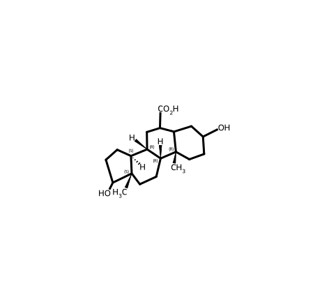 C[C@]12CCC(O)CC1C(C(=O)O)C[C@@H]1[C@H]2CC[C@]2(C)C(O)CC[C@@H]12